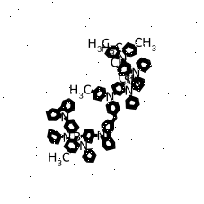 CC1=CCC(C)(N(c2ccc3c(c2)N(c2ccccc2)c2cccc4c2[SH]3C2(C)C=CC(N(c3ccc(C)cc3)c3ccc(Cc5ccc6c(c5)c5ccccc5n6-c5ccc6c(c5)N(c5ccccc5)C5=C7B6c6ccc(-n8c9ccccc9c9ccccc98)cc6N(c6ccccc6)C7CC(C)=C5)cc3)=CC2N4c2ccccc2)C2C=CC(C)=CC2C)C=C1